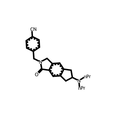 CCCN(CCC)C1Cc2cc3c(cc2C1)C(=O)N(Cc1ccc(C#N)cc1)C3